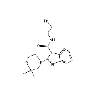 CC(C)CCNC(=O)n1c(N2CCOC(C)(C)C2)nc2ccccc21